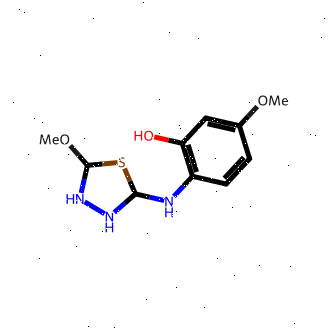 COc1ccc(NC2NNC(OC)S2)c(O)c1